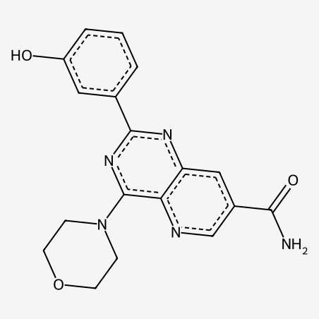 NC(=O)c1cnc2c(N3CCOCC3)nc(-c3cccc(O)c3)nc2c1